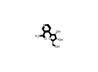 NC(=O)c1cnccc1C1O[C@H](CO)[C@@H](O)[C@H]1O